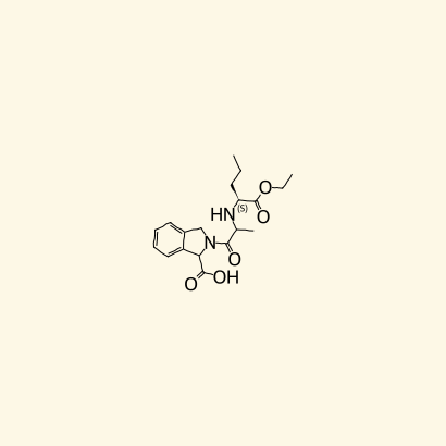 CCC[C@H](NC(C)C(=O)N1Cc2ccccc2C1C(=O)O)C(=O)OCC